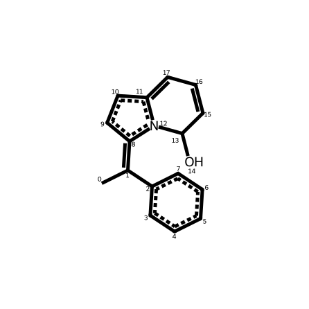 CC(c1ccccc1)=c1ccc2n1C(O)C=CC=2